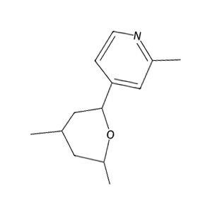 Cc1cc(C2CC(C)CC(C)O2)ccn1